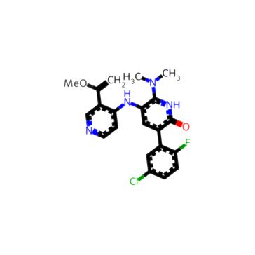 C=C(OC)c1cnccc1Nc1cc(-c2cc(Cl)ccc2F)c(=O)[nH]c1N(C)C